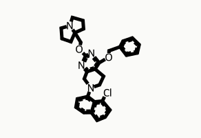 Clc1cccc2cccc(N3CCc4c(nc(OCC56CCCN5CCC6)nc4OCc4ccccc4)C3)c12